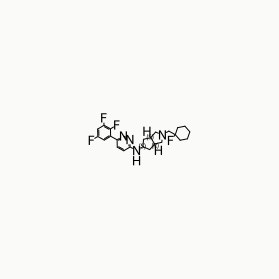 Fc1cc(F)c(F)c(-c2ccc(N[C@H]3C[C@@H]4CN(CC5(F)CCCCC5)C[C@@H]4C3)nn2)c1